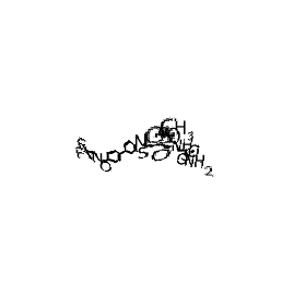 CS(=O)(=O)C(C(=O)NCCS(N)(=O)=O)c1nc2ccc(-c3ccc(C(=O)N4CC(F)(F)C4)cc3)cc2s1